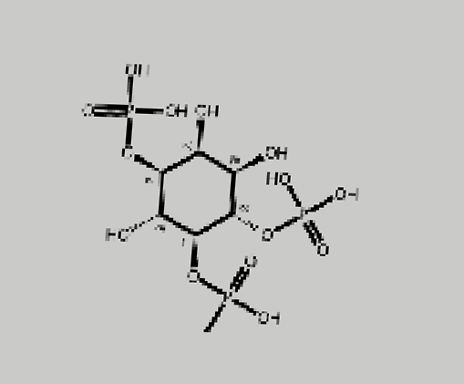 CP(=O)(O)O[C@H]1[C@H](O)[C@@H](OP(=O)(O)O)[C@@H](O)[C@@H](O)[C@@H]1OP(=O)(O)O